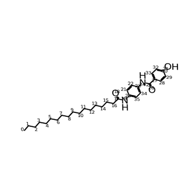 CCCCCCCCCCCCCCCCCC(=O)Nc1ccc(NC(=O)c2ccc(O)cc2)cc1